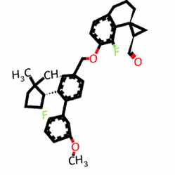 COc1ccc(F)c(-c2ccc(COc3ccc4c(c3F)[C@]3(CCC4)C[C@H]3C=O)cc2[C@@H]2CCCC2(C)C)c1